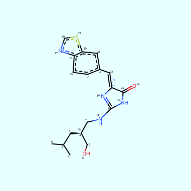 CC(C)C[C@H](CO)CNC1=N/C(=C\c2ccc3ncsc3c2)C(=O)N1